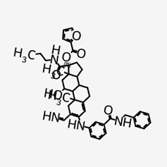 CCCNC(=O)[C@@]1(OC(=O)c2ccco2)CCC2C3CCC4=CC(Nc5cccc(C(=O)NCc6ccccc6)c5)=C(C=N)CC4(C)C3C(O)CC21C